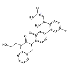 N/C(Cl)=C\N(N)c1ccc(Cl)cc1-c1cc(=O)n(C(Cc2ccccc2)C(=O)NCCO)cn1